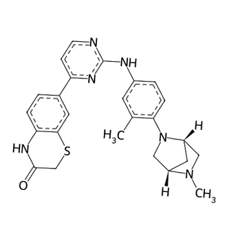 Cc1cc(Nc2nccc(-c3ccc4c(c3)SCC(=O)N4)n2)ccc1N1C[C@@H]2C[C@H]1CN2C